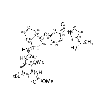 COC(=O)Nc1cc(C(C)(C)C)cc(NC(=O)Nc2ccc(Oc3ccnc(C(=O)N4CCC(N(C)C)C4)c3)c3ccccc23)c1OC